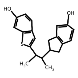 CC(c1cc2ccc(O)cc2s1)C(C)C1Cc2ccc(O)cc2C1